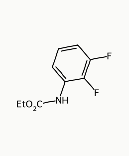 CCOC(=O)Nc1cccc(F)c1F